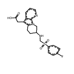 O=C(O)Cc1c2n(c3ncccc13)CC(NCS(=O)(=O)c1ccc(F)cc1)CC2